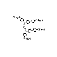 CCCCCCC[C@H]1CC[C@H](C(CCOCCC([C@H]2CC[C@H](CCCCCCC)CC2)[C@H]2CC[C@H]([C@H]3CC[C@H](CCCCC)CC3)CC2)[C@H]2CC[C@H]([C@H]3CC[C@H](CCCCC)CC3)CC2)CC1